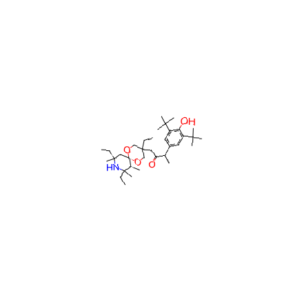 CCC1(CC(=O)C(C)c2cc(C(C)(C)C)c(O)c(C(C)(C)C)c2)COC2(CC(C)(CC)NC(C)(CC)C2C)OC1